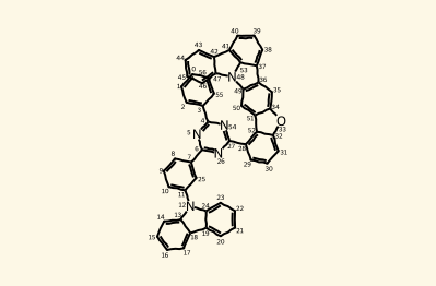 c1ccc(-c2nc(-c3cccc(-n4c5ccccc5c5ccccc54)c3)nc(-c3cccc4oc5cc6c7cccc8c9ccccc9n(c6cc5c34)c87)n2)cc1